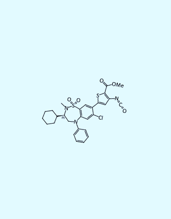 COC(=O)c1sc(-c2cc3c(cc2Cl)N(c2ccccc2)C[C@@H](C2CCCCC2)N(C)S3(=O)=O)cc1N=C=O